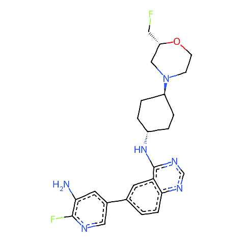 Nc1cc(-c2ccc3ncnc(N[C@H]4CC[C@H](N5CCO[C@@H](CF)C5)CC4)c3c2)cnc1F